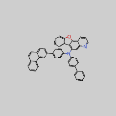 c1ccc(-c2ccc(N(c3ccc(-c4ccc5ccc6ccccc6c5c4)cc3)c3cc4ncccc4c4oc5ccccc5c34)cc2)cc1